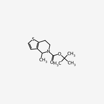 CC1c2ccsc2CCN1C(=O)OC(C)(C)C